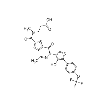 CC=NN(C(=O)c1ccc(C(=O)N(C)CCC(=O)O)s1)c1csc(-c2ccc(OC(F)(F)F)cc2)c1O